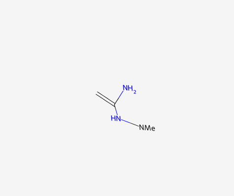 C=C(N)NNC